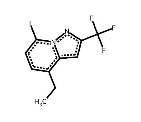 CCc1ccc(I)n2nc(C(F)(F)F)cc12